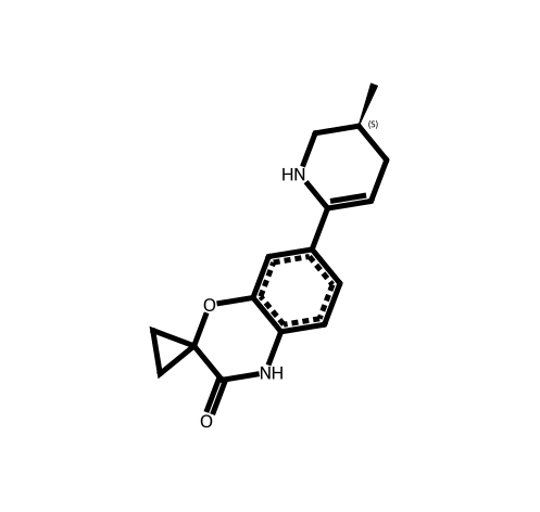 C[C@H]1CC=C(c2ccc3c(c2)OC2(CC2)C(=O)N3)NC1